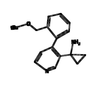 CC(C)(C)OCc1ccccc1-c1ccncc1C1(N)CC1